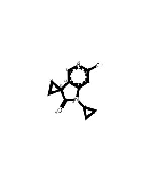 O=C1N(C2CC2)c2cc(Cl)ncc2C12CC2